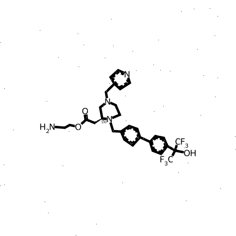 NCCOC(=O)C[C@H]1CN(Cc2ccncc2)CCN1Cc1ccc(-c2ccc(C(O)(C(F)(F)F)C(F)(F)F)cc2)cc1